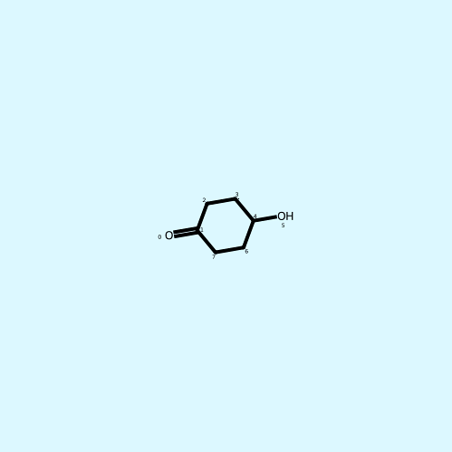 O=C1C[CH]C(O)CC1